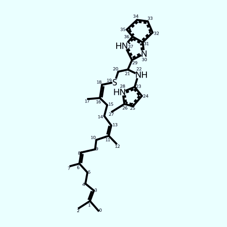 CC(C)=CCCC(C)=CCCC(C)=CCCC(C)=CSCC(Nc1ccc(C)[nH]1)c1nc2ccccc2[nH]1